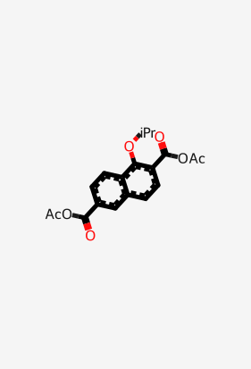 CC(=O)OC(=O)c1ccc2c(OC(C)C)c(C(=O)OC(C)=O)ccc2c1